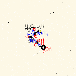 CC(C)(ON=C(C(=O)N[C@@H]1C(=O)N(S(=O)(=O)O)[C@H]1CNC(=O)C(=O)NCC1=CC(=O)C(O)=CC1O)c1csc(N)n1)C(=O)O